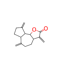 C=C1C(=O)OC2C1CCC(=C)C1CCC(=C)C12